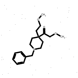 COCCC1(C(=O)COC)CCN(Cc2ccccc2)CC1